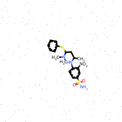 CC(CC(Sc1ccccc1)N(C)C)Nc1ccc(S(N)(=O)=O)cc1[N+](=O)[O-]